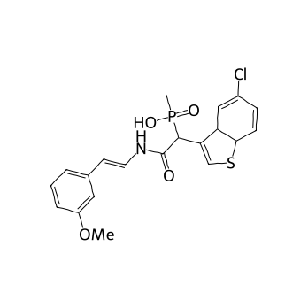 COc1cccc(/C=C/NC(=O)C(C2=CSC3C=CC(Cl)=CC23)P(C)(=O)O)c1